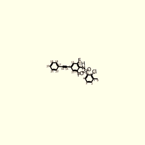 Cc1cccc(S(=O)(=O)Nc2c(F)cc(C#Cc3ccccc3)cc2F)c1Cl